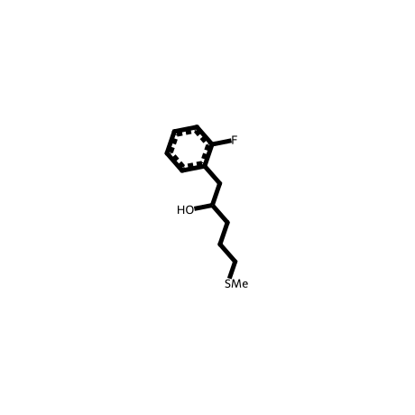 CSCCCC(O)Cc1ccccc1F